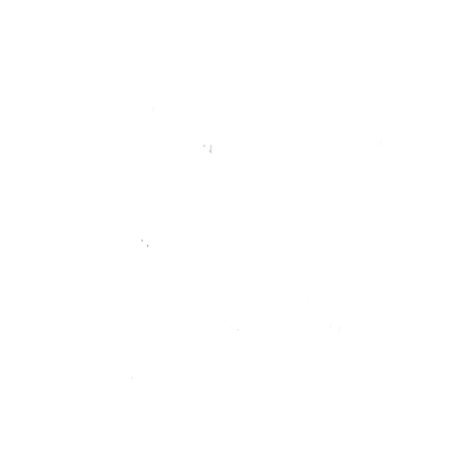 Cc1cc2c(ccc(=O)n2Cc2ccc(C(F)(F)F)cc2)c(-c2ccc3c4c(ccnc24)CCO3)c1C(OC(C)(C)C)C(=O)O